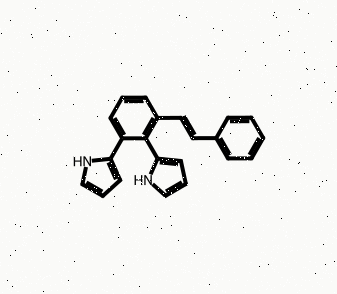 C(=Cc1cccc(-c2ccc[nH]2)c1-c1ccc[nH]1)c1ccccc1